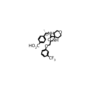 C[C@H](NC(=O)C1(NCCOc2cccc(C(F)(F)F)c2)CCOCC1)c1ccc(C(=O)O)cc1